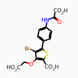 O=C(O)COc1c(C(=O)O)sc(-c2ccc(NC(=O)C(=O)O)cc2)c1Br